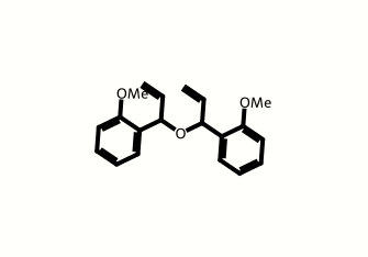 C=CC(OC(C=C)c1ccccc1OC)c1ccccc1OC